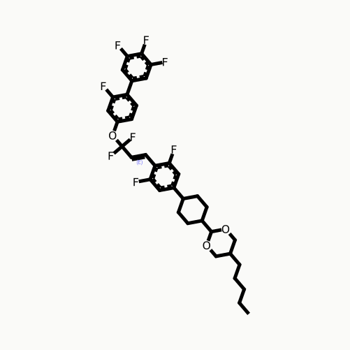 CCCCCC1COC(C2CCC(c3cc(F)c(/C=C/C(F)(F)Oc4ccc(-c5cc(F)c(F)c(F)c5)c(F)c4)c(F)c3)CC2)OC1